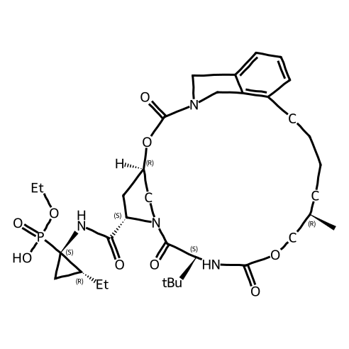 CCOP(=O)(O)[C@@]1(NC(=O)[C@@H]2C[C@@H]3CN2C(=O)[C@H](C(C)(C)C)NC(=O)OC[C@H](C)CCCCc2cccc4c2CN(C4)C(=O)O3)C[C@H]1CC